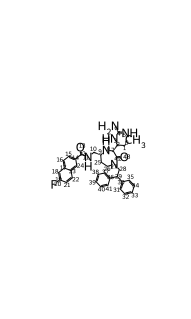 CCC(NC(=N)N)[C@@H]1N[C@H](CNC(=O)c2ccc3cc(F)ccc3c2)CCN(CC(c2ccccc2)c2ccccc2)C1=O